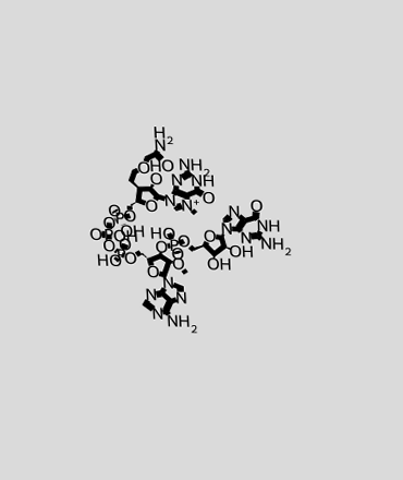 CO[C@@H]1[C@H](OP(=O)(O)OC[C@H]2O[C@@H](n3cnc4c(=O)[nH]c(N)nc43)[C@H](O)[C@@H]2O)[C@@H](COP(=O)(O)OP(=O)(O)OP(=O)(O)OC[C@H]2OC(n3c[n+](C)c4c(=O)[nH]c(N)nc43)[C@H](O)[C@@H]2CCOCC(N)=O)O[C@H]1n1cnc2c(N)ncnc21